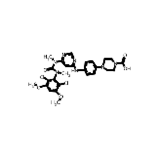 COc1cc(OC)c(Cl)c(N(C)C(=O)N(C)c2cc(Nc3ccc(N4CCN(C(=O)O)CC4)cc3)ncn2)c1Cl